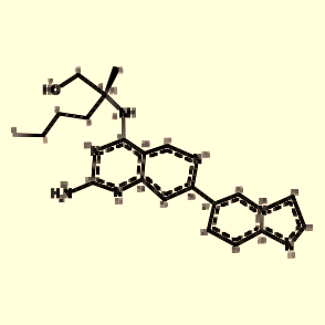 CCCC[C@](C)(CO)Nc1nc(N)nc2cc(-c3ccc4nccn4c3)ncc12